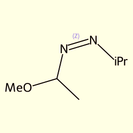 COC(C)/N=N\C(C)C